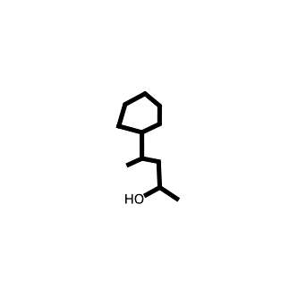 CC(O)CC(C)C1CCCCC1